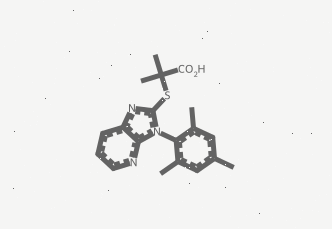 Cc1cc(C)c(-n2c(SC(C)(C)C(=O)O)nc3cccnc32)c(C)c1